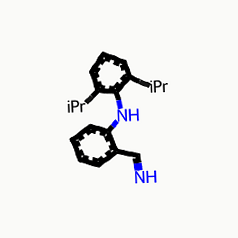 CC(C)c1cccc(C(C)C)c1Nc1ccccc1C=N